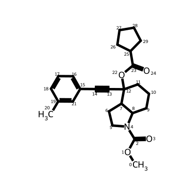 COC(=O)N1CCC2C1CCCC2(C#Cc1cccc(C)c1)OC(=O)C1CCCC1